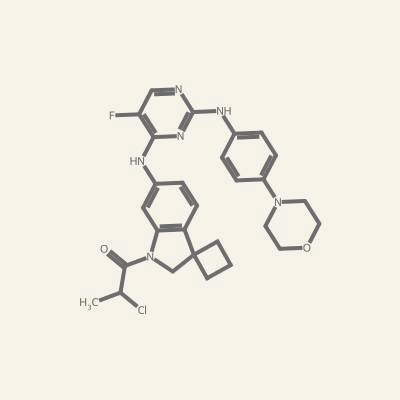 CC(Cl)C(=O)N1CC2(CCC2)c2ccc(Nc3nc(Nc4ccc(N5CCOCC5)cc4)ncc3F)cc21